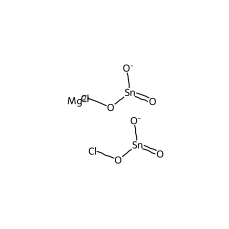 [Mg+2].[O]=[Sn]([O-])[O]Cl.[O]=[Sn]([O-])[O]Cl